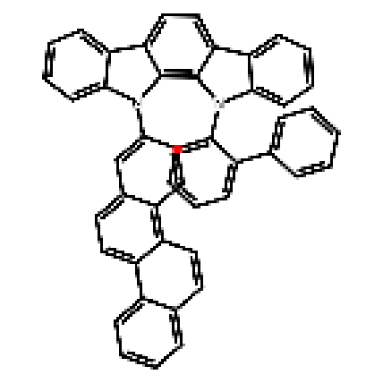 c1ccc(-c2ccccc2-n2c3ccccc3c3ccc4c5ccccc5n(-c5ccc6c(ccc7c8ccccc8ccc67)c5)c4c32)cc1